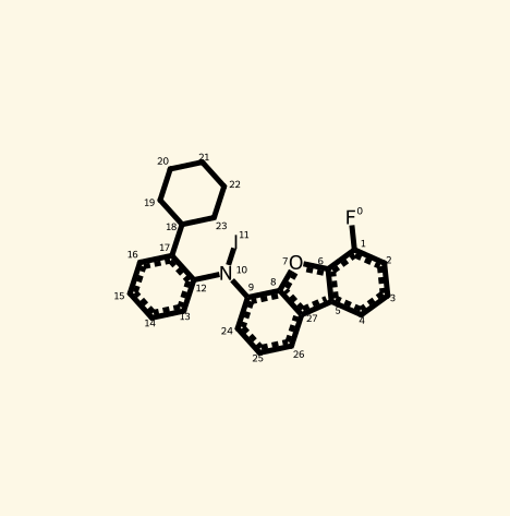 Fc1cccc2c1oc1c(N(I)c3ccccc3C3CCCCC3)cccc12